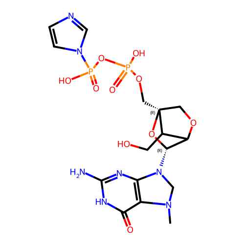 CN1CN([C@@H]2O[C@@]3(COP(=O)(O)OP(=O)(O)n4ccnc4)COC2C3CO)c2nc(N)[nH]c(=O)c21